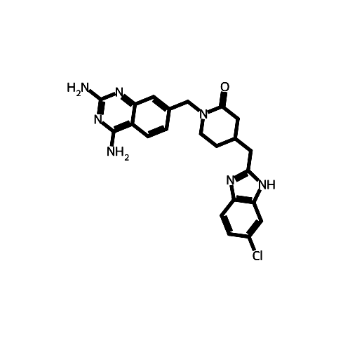 Nc1nc(N)c2ccc(CN3CCC(Cc4nc5ccc(Cl)cc5[nH]4)CC3=O)cc2n1